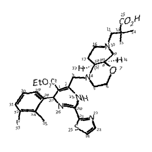 CCOC(=O)C1=C(CN2CCO[C@@H]3CN(CC(C)(C)C(=O)O)CC[C@@H]32)NC(c2nccs2)=NC1c1cccc(F)c1C